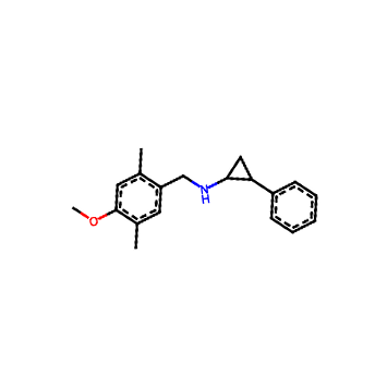 COc1cc(C)c(CNC2CC2c2ccccc2)cc1C